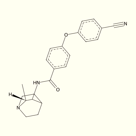 C[C@@H]1C(NC(=O)c2ccc(Oc3ccc(C#N)cc3)cc2)C2CCN1CC2